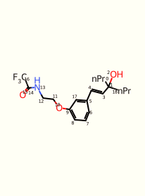 CCCC(O)(/C=C/c1cccc(OCCNC(=O)C(F)(F)F)c1)CCC